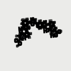 COC(=O)N[C@@H](C)C(=O)N1CCC[C@H]1c1nc2c(-c3ncc(-c4ccc5[nH]c([C@@H]6CCCN6C(=O)[C@H](C)N(C)C(=O)O)nc5c4)o3)cccc2[nH]1